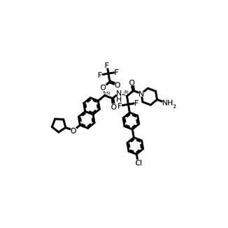 NC1CCN(C(=O)[C@@H](NC(=O)[C@@H](OC(=O)C(F)(F)F)c2ccc3cc(OC4CCCC4)ccc3c2)C(F)(F)c2ccc(-c3ccc(Cl)cc3)cc2)CC1